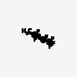 CCc1cc(F)c(OCc2ccc(-c3cc(F)c(F)c(F)c3)c(F)c2)c(F)c1